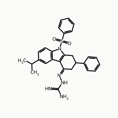 CC(C)c1ccc2c(c1)c1c(n2S(=O)(=O)c2ccccc2)CC(c2ccccc2)CC1=NNC(=N)N